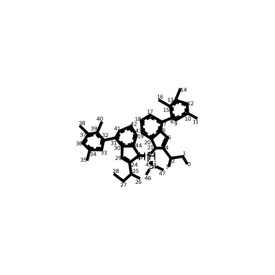 CCC(C)C1=Cc2c(-c3cc(C)cc(C)c3C)cccc2[CH]1[Hf]([CH]1C(C(C)CC)=Cc2c(-c3cc(C)cc(C)c3C)cccc21)[SiH](C)C